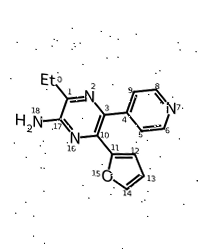 CCc1nc(-c2ccncc2)c(-c2ccco2)nc1N